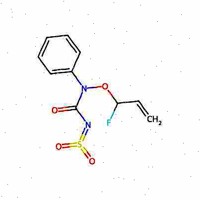 C=CC(F)ON(C(=O)N=S(=O)=O)c1ccccc1